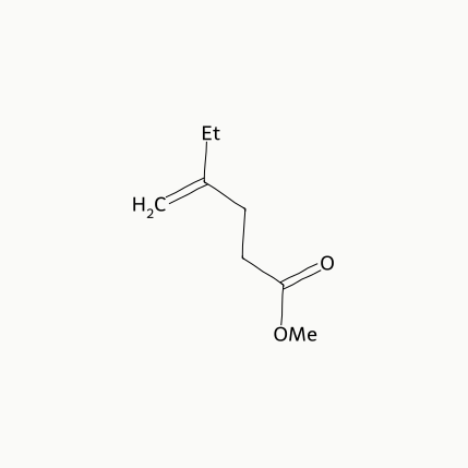 C=C(CC)CCC(=O)OC